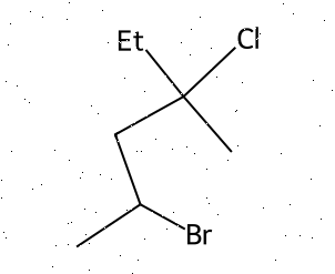 CCC(C)(Cl)CC(C)Br